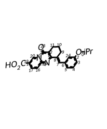 CC(C)Oc1cccc(/C=C2\CCCc3c2nc2ccc(C(=O)O)cn2c3=O)c1